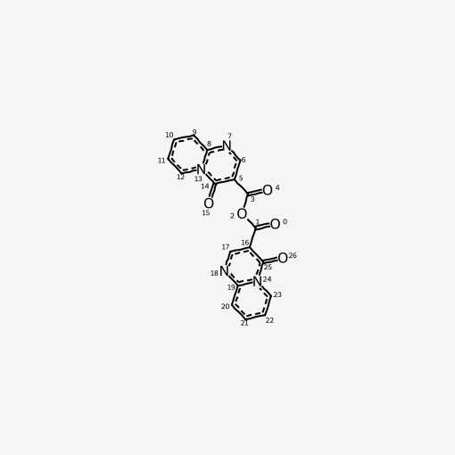 O=C(OC(=O)c1cnc2ccccn2c1=O)c1cnc2ccccn2c1=O